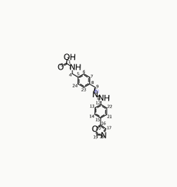 O=C(O)NCc1ccc(/C=N/Nc2ccc(-c3cnco3)cc2)cc1